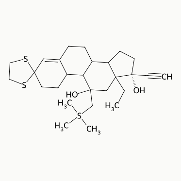 C#C[C@]1(O)CCC2C3CCC4=CC5(CCC4C3C(O)(CS(C)(C)C)CC21CC)SCCS5